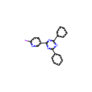 Ic1ccc(-c2nc(-c3ccccc3)nc(-c3ccccc3)n2)cn1